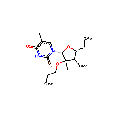 COCCO[C@]1(C)C(OC)[C@@H](COC)O[C@H]1n1cc(C)c(=O)[nH]c1=S